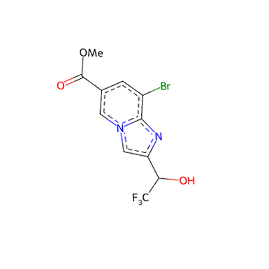 COC(=O)c1cc(Br)c2nc(C(O)C(F)(F)F)cn2c1